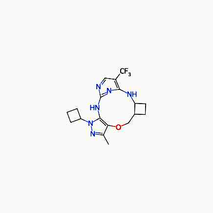 Cc1nn(C2CCC2)c2c1OCC1CCC1Nc1nc(ncc1C(F)(F)F)N2